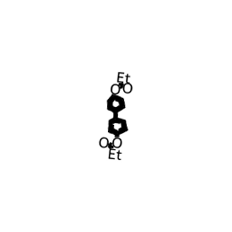 CCC(=O)Oc1ccc(-c2ccc(OC(=O)CC)cc2)cc1